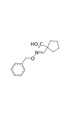 O=C(O)C1(C=NOCc2ccccc2)CCCC1